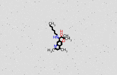 CCCCCCCNC1c2cc3nc(C)cc(C)c3cc2OC(C)(C)C1O